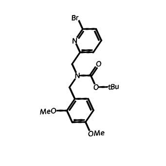 COc1ccc(CN(Cc2cccc(Br)n2)C(=O)OC(C)(C)C)c(OC)c1